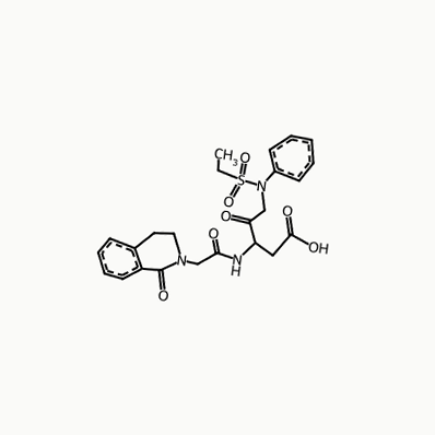 CCS(=O)(=O)N(CC(=O)C(CC(=O)O)NC(=O)CN1CCc2ccccc2C1=O)c1ccccc1